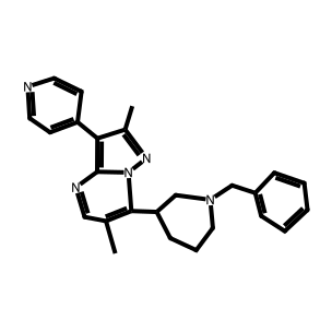 Cc1cnc2c(-c3ccncc3)c(C)nn2c1C1CCCN(Cc2ccccc2)C1